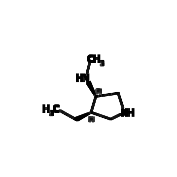 CC[C@@H]1CNC[C@@H]1NC